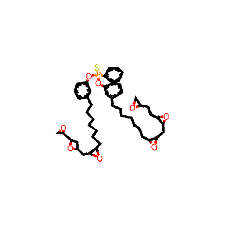 S=P(Oc1cccc(CCCCCCCC2OC2CC2CC(C3CO3)O2)c1)(Oc1cccc(CCCCCCCC2OC2CC2OC2CCC2CO2)c1)c1ccccc1